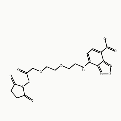 O=C(COCCOCCNc1ccc([N+](=O)[O-])c2nonc12)ON1C(=O)CCC1=O